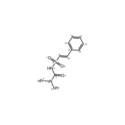 CCCN(CCC)C(=O)NS(=O)(=O)C=Cc1ccccc1